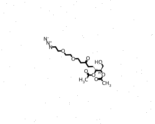 CC(=O)O[C@H](CO)[C@@H](CCC(=O)CCOCCOCCN=[N+]=[N-])OC(C)=O